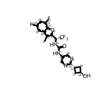 Cc1c([C@@H](NC(=O)Nc2cnc([C@H]3C[C@H](O)C3)nc2)C(F)(F)F)oc2c(F)cc(F)cc12